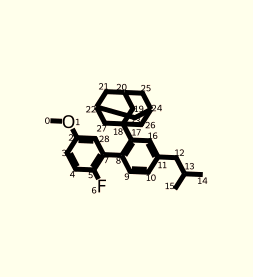 COc1ccc(F)c(-c2ccc(CC(C)C)cc2C23CC4CC(CC(C4)C2)C3)c1